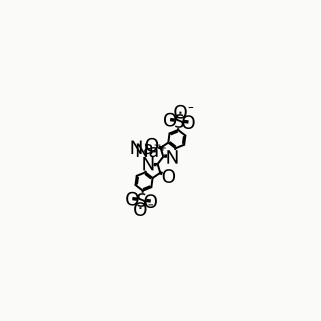 O=C1C(C2=Nc3ccc(S(=O)(=O)[O-])cc3C2=O)=Nc2ccc(S(=O)(=O)[O-])cc21.[Na+].[Na+]